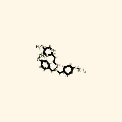 COc1ccc(CN(Cc2ccc(OC)cc2)SCCc2ncc(C)cn2)cc1